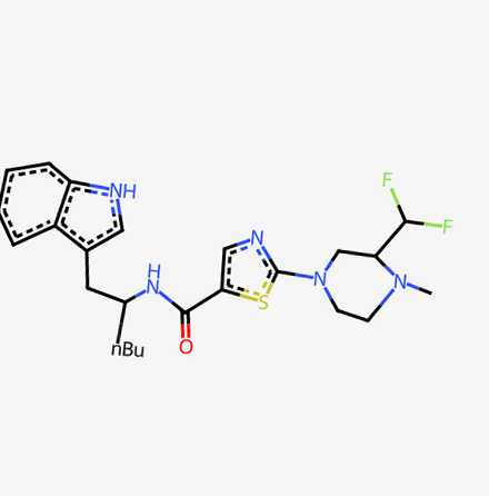 CCCCC(Cc1c[nH]c2ccccc12)NC(=O)c1cnc(N2CCN(C)C(C(F)F)C2)s1